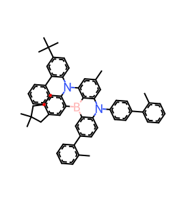 Cc1cc2c3c(c1)N(c1ccc(C(C)(C)C)cc1-c1ccccc1)c1cc4c(cc1B3c1cc(-c3ccccc3C)ccc1N2c1ccc(-c2ccccc2C)cc1)CC(C)(C)C4